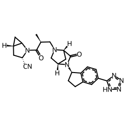 C[C@@H](CN1C[C@@H]2C[C@H]1C(=O)N2[C@@H]1CCc2cc(-c3nnn[nH]3)ccc21)C(=O)N1C2C[C@H]2C[C@H]1C#N